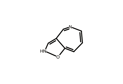 C1=CN=CC2=CNOC2=C1